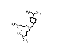 CC(N)c1ccc(CN(CCCN(C)C)CCCN(C)C)cc1